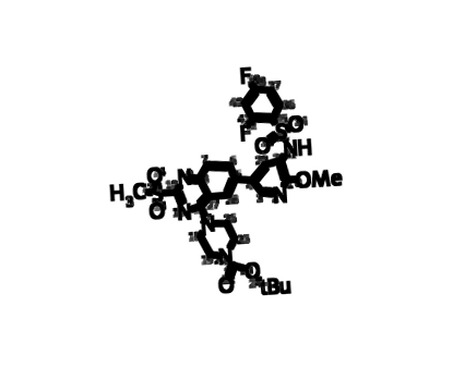 COc1ncc(-c2ccc3nc(S(C)(=O)=O)nc(N4CCN(C(=O)OC(C)(C)C)CC4)c3c2)cc1NS(=O)(=O)c1ccc(F)cc1F